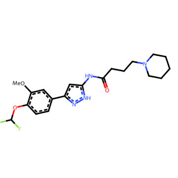 COc1cc(-c2cc(NC(=O)CCCN3CCCCC3)[nH]n2)ccc1OC(F)F